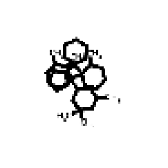 CC1C[C](C2(C3(C4(C5CCCC5)CCCCC4)CCCCC3C)CCCC(C)C2C)CC(C)(C)C1